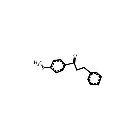 CSc1ccc(C(=O)CCc2ccccc2)cc1